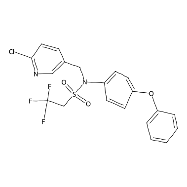 O=S(=O)(CC(F)(F)F)N(Cc1ccc(Cl)nc1)c1ccc(Oc2ccccc2)cc1